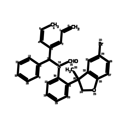 C=C/C=C(\C=C/C)C(c1ccccc1)N(C=O)c1ccccc1C1(C)COc2ccc(Br)cc21